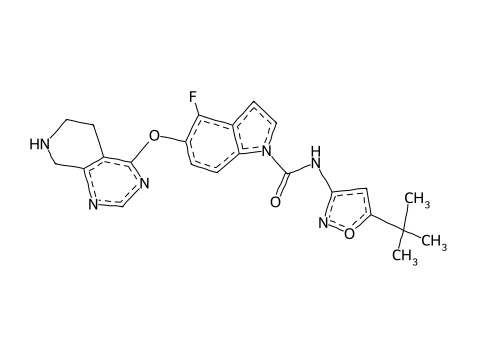 CC(C)(C)c1cc(NC(=O)n2ccc3c(F)c(Oc4ncnc5c4CCNC5)ccc32)no1